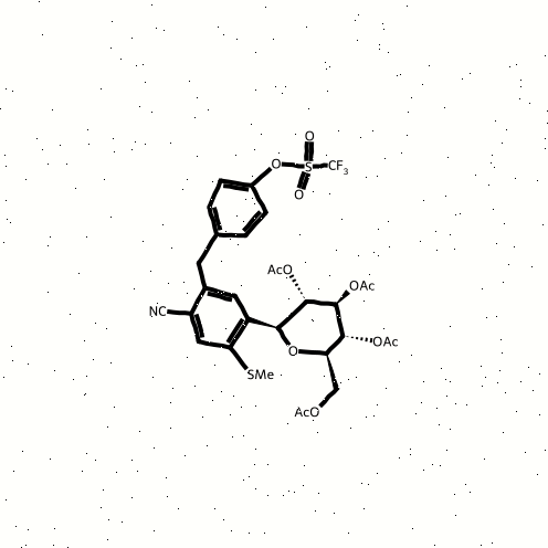 CSc1cc(C#N)c(Cc2ccc(OS(=O)(=O)C(F)(F)F)cc2)cc1[C@@H]1O[C@H](COC(C)=O)[C@@H](OC(C)=O)[C@H](OC(C)=O)[C@H]1OC(C)=O